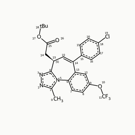 Cc1nnc2n1-c1ccc(OC(F)(F)F)cc1C(c1ccc(Cl)cc1)=C[C@@H]2CC(=O)OC(C)(C)C